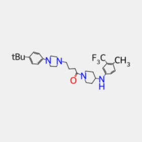 Cc1ccc(NC2CCN(C(=O)CCCN3CCN(c4ccc(C(C)(C)C)cc4)CC3)CC2)cc1C(F)(F)F